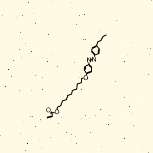 C=CC(=O)OCCCCCCCCCCCOc1ccc(N=Nc2ccc(CCCC)cc2)cc1